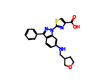 O=C(O)c1csc(-n2nc(-c3ccccc3)c3ccc(NCC4CCOC4)cc32)n1